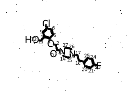 O=C(COc1ccc(Cl)cc1CO)N1CCN(CCc2ccc(F)cc2)CC1